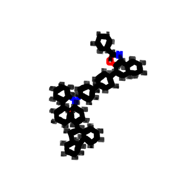 c1ccc(-c2nc3c(o2)c(-c2ccc(-c4ccc(N(c5ccc(-c6cc7ccccc7c7ccccc67)cc5)c5ccccc5-c5ccccc5)cc4)cc2)cc2ccccc23)cc1